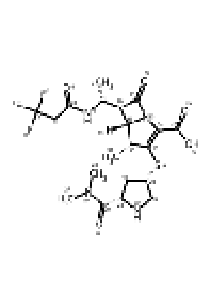 C[C@@H](NC(=O)CC(F)(F)F)[C@H]1C(=O)N2C(C(=O)O)=C(S[C@@H]3CN[C@H](C(=O)N(C)C)C3)[C@H](C)[C@H]12